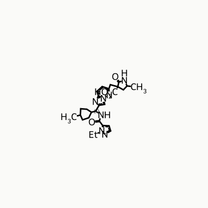 CCn1nccc1C(=O)N[C@H](c1cn2nc(CC3(C(=O)O)CC(C)NC3=O)ccc2n1)C1CCC(C)CC1